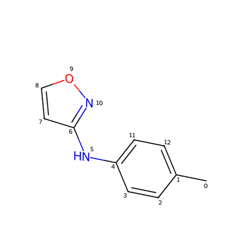 Cc1ccc(Nc2ccon2)cc1